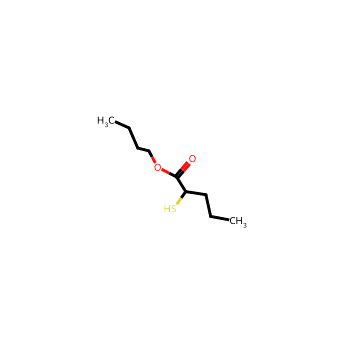 CCCCOC(=O)C(S)CCC